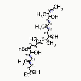 C/C=C/C(C)C(O)/C=C/C(C)=C/CC(O)C(C)CCC(O)CCC(CCCC)C(O)/C=C/C(C)=C/CC(O)CC